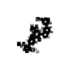 Cc1cnn(C)c1-c1ccc(NC(=O)[C@@H](NC(=O)C2(F)CC2)[C@@H]2CCc3ccc(-c4cncc(C(C)C)n4)cc32)cc1